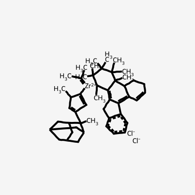 C[C](C)=[Zr+2]([C]1=CC(C2(C)C3CC4CC(C3)CC2C4)=CC1C)[C]1(C)C2=C3Cc4ccccc4C3=C3C=CCCC3C2(C)C(C)(C)C(C)(C)C1(C)C.[Cl-].[Cl-]